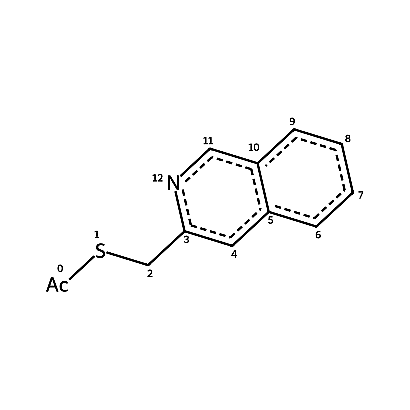 CC(=O)SCc1cc2ccccc2cn1